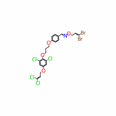 ClC(Cl)=CCOc1cc(Cl)c(OCCCOc2ccc(C=NOCC=C(Br)Br)cc2)c(Cl)c1